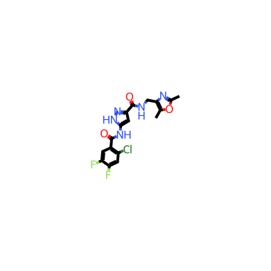 Cc1nc(CNC(=O)c2cc(NC(=O)c3cc(F)c(F)cc3Cl)[nH]n2)c(C)o1